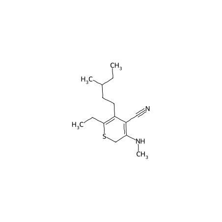 CCC1=C(CCC(C)CC)C(C#N)=C(NC)CS1